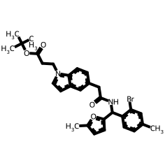 Cc1ccc(C(NC(=O)Cc2ccc3c(ccn3CCC(=O)OC(C)(C)C)c2)c2ccc(C)o2)c(Br)c1